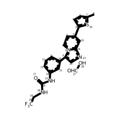 Cc1ccc(-c2ccn3c(-c4cccc(NC(=O)NCC(F)(F)F)c4)cnc3c2)s1.O=CO